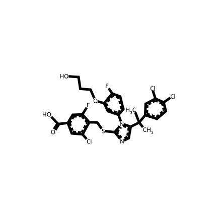 CC(C)(c1ccc(Cl)c(Cl)c1)c1cnc(SCc2c(F)cc(C(=O)O)cc2Cl)n1-c1ccc(F)c(OCCCO)c1